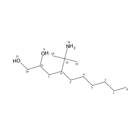 CCCCCCC(CC(O)CO)C(C)(C)N